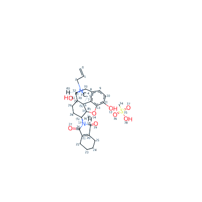 C=CCN1CC[C@]23c4c5ccc(O)c4O[C@H]2[C@@H](N2C(=O)C4=C(CCCC4)C2=O)CC[C@@]3(O)[C@H]1C5.CS(=O)(=O)O